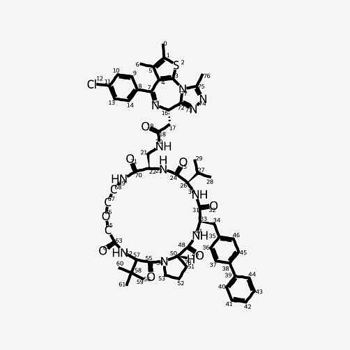 Cc1sc2c(c1C)C(c1ccc(Cl)cc1)=N[C@@H](CC(=O)NC[C@H]1NC(=O)[C@@H](C(C)C)NC(=O)[C@@H](Cc3ccc(-c4ccccc4)cc3)NC(=O)[C@@H]3CCCN3C(=O)C(C(C)(C)C)NC(=O)COCCNC1=O)c1nnc(C)n1-2